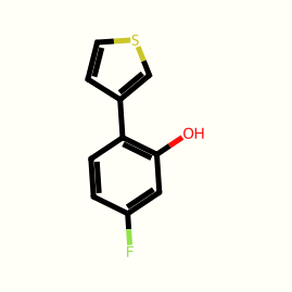 Oc1cc(F)ccc1-c1ccsc1